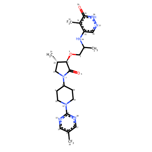 CC(CO[C@H]1C(=O)N(C2CCN(c3ncc(C(F)(F)F)cn3)CC2)C[C@@H]1C)Nc1cn[nH]c(=O)c1C(F)(F)F